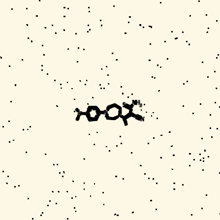 CC(=C(C#N)C(N)=S)N1CCCN(c2ccc(N(C)C)cc2)CC1